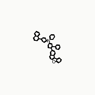 C1=CCCC(N(c2ccc(-c3cccc4ccccc34)cc2)c2ccc(-c3ccc4c(ccc5oc6ccccc6c54)c3)c(-c3ccccc3)c2)=C1